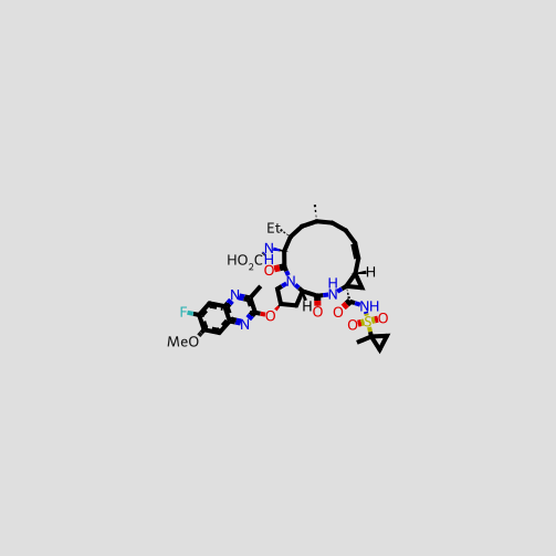 CC[C@@H]1C[C@H](C)CC/C=C\[C@@H]2C[C@@]2(C(=O)NS(=O)(=O)C2(C)CC2)NC(=O)[C@@H]2C[C@@H](Oc3nc4cc(OC)c(F)cc4nc3C)CN2C(=O)[C@H]1NC(=O)O